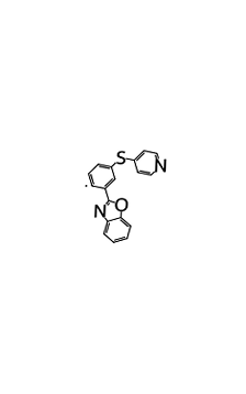 [c]1ccc(Sc2ccncc2)cc1-c1nc2ccccc2o1